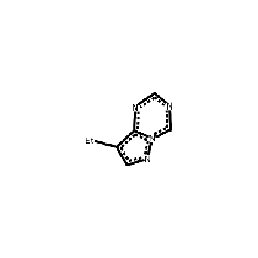 CCc1cnn2cncnc12